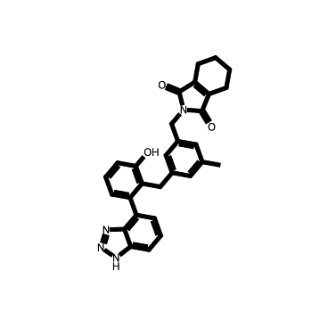 Cc1cc(Cc2c(O)cccc2-c2cccc3[nH]nnc23)cc(CN2C(=O)C3=C(CCCC3)C2=O)c1